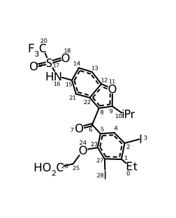 CCc1c(I)cc(C(=O)c2c(C(C)C)oc3ccc(NS(=O)(=O)C(F)(F)F)cc23)c(OCC(=O)O)c1I